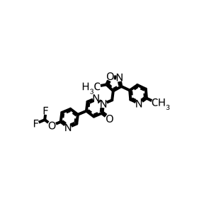 Cc1ccc(-c2noc(C)c2Cn2ncc(-c3ccc(OC(F)F)nc3)cc2=O)cn1